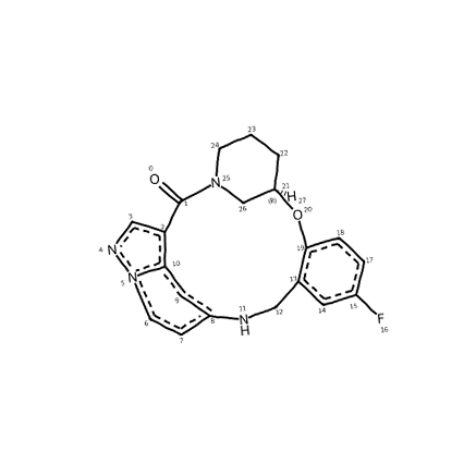 O=C1c2cnn3ccc(cc23)NCc2cc(F)ccc2O[C@@H]2CCCN1C2